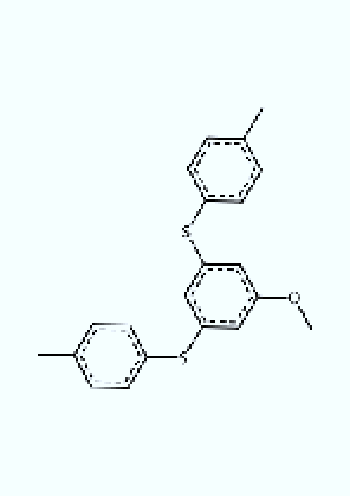 COc1cc(Sc2ccc(C)cc2)cc(Sc2ccc(C)cc2)c1